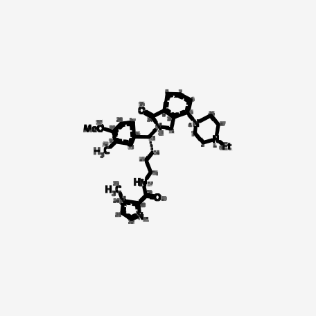 CCN1CCN(c2cccc3c2CN([C@H](CCCNC(=O)c2nccn2C)c2ccc(OC)c(C)c2)C3=O)CC1